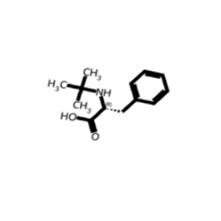 CC(C)(C)N[C@H](Cc1ccccc1)C(=O)O